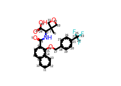 CC1(C(NC(=O)c2ccc3ccccc3c2OCc2ccc(C(F)(F)F)cc2)C(=O)O)COC1